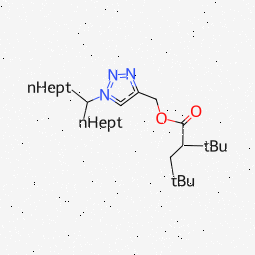 CCCCCCCC(CCCCCCC)n1cc(COC(=O)C(CC(C)(C)C)C(C)(C)C)nn1